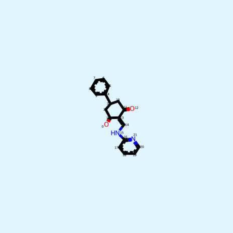 O=C1CC(c2ccccc2)CC(=O)C1=CNc1ccccn1